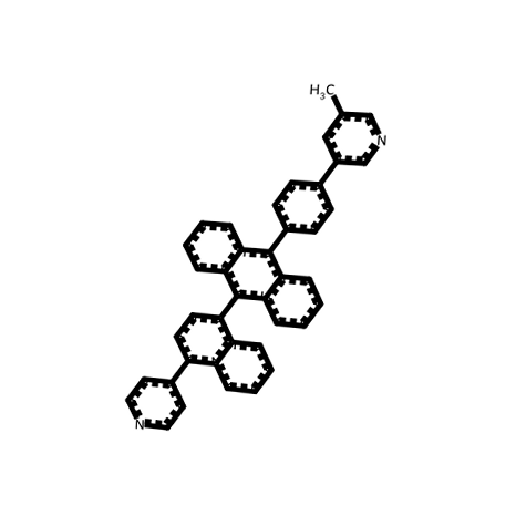 Cc1cncc(-c2ccc(-c3c4ccccc4c(-c4ccc(-c5ccncc5)c5ccccc45)c4ccccc34)cc2)c1